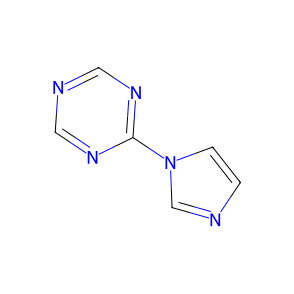 c1cn(-c2ncncn2)cn1